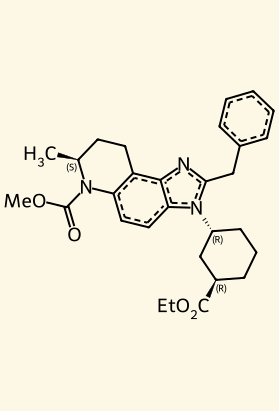 CCOC(=O)[C@@H]1CCC[C@@H](n2c(Cc3ccccc3)nc3c4c(ccc32)N(C(=O)OC)[C@@H](C)CC4)C1